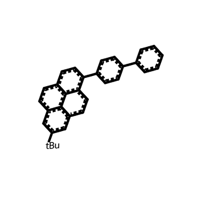 CC(C)(C)c1cc2ccc3ccc(-c4ccc(-c5ccccc5)cc4)c4ccc(c1)c2c34